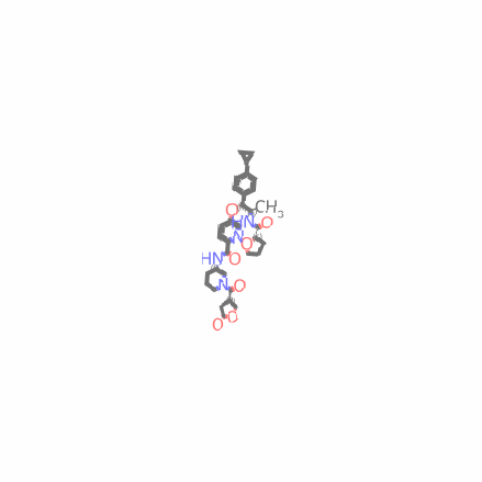 C[C@H](NC(=O)[C@@H]1CCCO1)[C@H](Oc1ccc(C(=O)N[C@H]2CCCN(C(=O)[C@H]3COC(=O)C3)C2)nc1)c1ccc(C2CC2)cc1